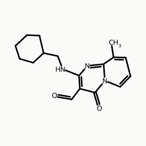 Cc1cccn2c(=O)c(C=O)c(NCC3CCCCC3)nc12